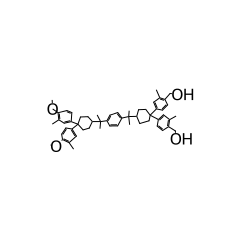 COc1ccc(C2(c3ccc(OC)c(C)c3)CCC(C(C)(C)c3ccc(C(C)(C)C4CCC(c5ccc(CO)c(C)c5)(c5ccc(CO)c(C)c5)CC4)cc3)CC2)cc1C